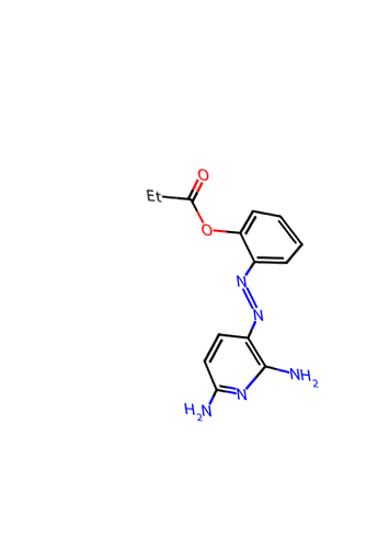 CCC(=O)Oc1ccccc1N=Nc1ccc(N)nc1N